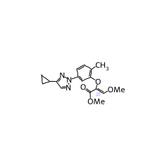 CO/C=C(\Oc1cc(-n2ncc(C3CC3)n2)ccc1C)C(=O)OC